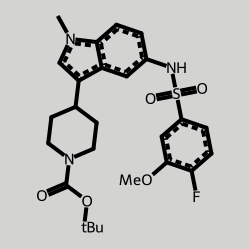 COc1cc(S(=O)(=O)Nc2ccc3c(c2)c(C2CCN(C(=O)OC(C)(C)C)CC2)cn3C)ccc1F